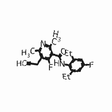 C#CCc1c(C)nc(C)c(C(=O)Nc2c(CC)cc(F)cc2CC)c1F